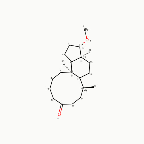 CC(C)O[C@H]1CCC2[C@@H]3CCCCC(=O)CC[C@H](C)C3CC[C@@]21C